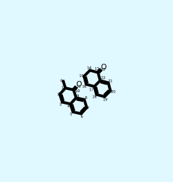 CC1C=Cc2ccccc2C1=O.O=C1CC=Cc2ccccc21